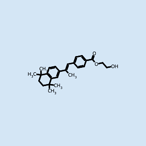 CC(=Cc1ccc(C(=O)OCCO)cc1)c1ccc2c(c1)C(C)(C)CCC2(C)C